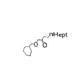 CCCCCCCCCC(=O)COCC1CCCCC1